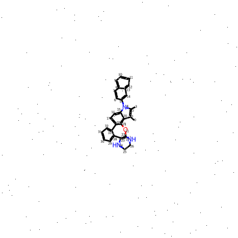 Cc1c(C)n(-c2ccc3ccccc3c2)c2ccc3c(c12)OC1=C(NCCN1)c1ccccc1-3